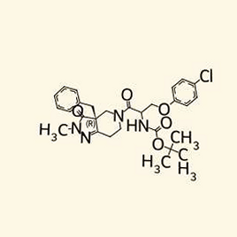 CN1N=C2CCN(C(=O)C(COc3ccc(Cl)cc3)NC(=O)OC(C)(C)C)C[C@@]2(Cc2ccccc2)C1=O